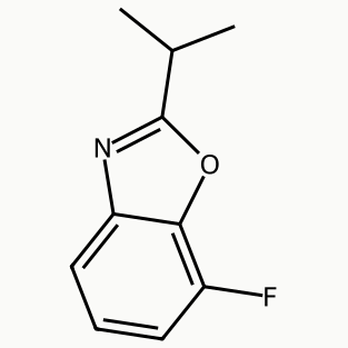 CC(C)c1nc2cccc(F)c2o1